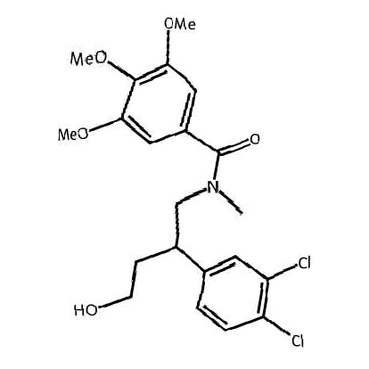 COc1cc(C(=O)N(C)CC(CCO)c2ccc(Cl)c(Cl)c2)cc(OC)c1OC